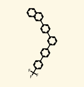 FC(F)(F)c1ccc(-c2ccc(-c3cccc(-c4ccc(-c5ccc6ccccc6c5)cc4)c3)cc2)cc1